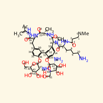 CNCCC(=O)N[C@@H](CCCCN)C(=O)N(C)[C@@H]1C(=O)N[C@@H](C)C(=O)N[C@H](C(=O)N[C@@H](C)C(C)=O)Cc2ccc(OC3O[C@H](CO)[C@@H](O)[C@H](O)[C@H]3N)c(c2)-c2cc1ccc2OC1O[C@H](CO)[C@@H](O)[C@H](O)[C@H]1N